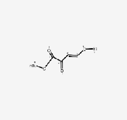 CCCCOC(=O)C(=O)/C=C/OCC